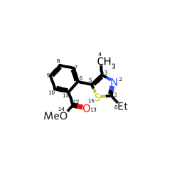 CCc1nc(C)c(-c2ccccc2C(=O)OC)s1